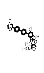 OC[C@H]1OC[C@@H](Oc2nc3cc(-c4ccc(-c5ccc(C6CNCCO6)cc5)cc4)c(Cl)cc3[nH]2)[C@@H]1O